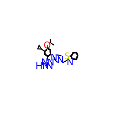 CC(C)Oc1cc(N2CCN(Cc3nc4ccccc4s3)CC2)c(-c2nn[nH]n2)cc1C1CC1